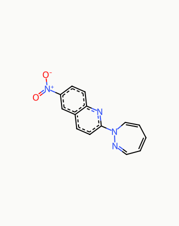 O=[N+]([O-])c1ccc2nc(N3C=CC=CC=N3)ccc2c1